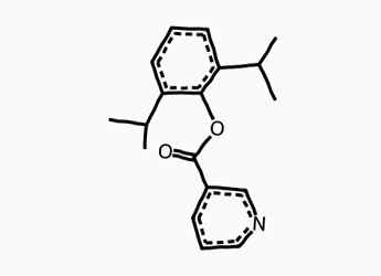 CC(C)c1cccc(C(C)C)c1OC(=O)c1cccnc1